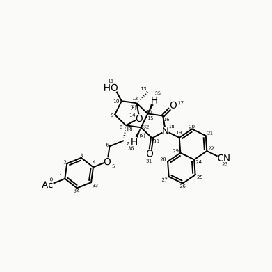 CC(=O)c1ccc(OCC[C@]23CC(O)[C@](C)(O2)[C@@H]2C(=O)N(c4ccc(C#N)c5ccccc45)C(=O)[C@@H]23)cc1